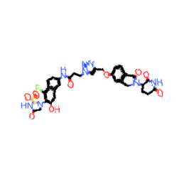 O=C1CCC(N2Cc3cc(OCc4cn(CCC(=O)Nc5ccc6c(F)c(N7CC(=O)NS7(=O)=O)c(O)cc6c5)nn4)ccc3C2=O)C(=O)N1